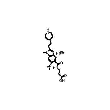 Br.Br.CNc1cc2c(cc1C(=O)NCCC(=O)O)nc(CCC1CCNCC1)n2C